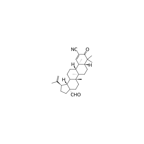 C=C(C)[C@@H]1CC[C@]2(C=O)CC[C@]3(C)C(CC[C@@H]4[C@@]5(C)C=C(C#N)C(=O)C(C)(C)[C@@H]5CC[C@]43C)[C@@H]12